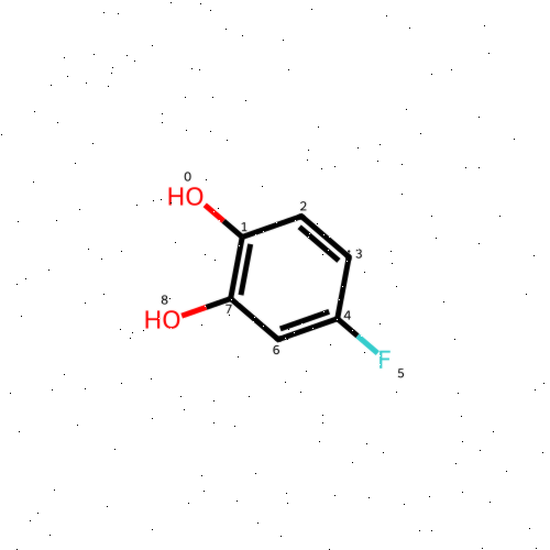 Oc1c[c]c(F)cc1O